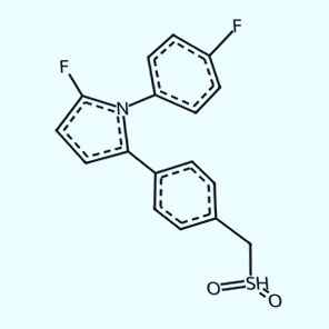 O=[SH](=O)Cc1ccc(-c2ccc(F)n2-c2ccc(F)cc2)cc1